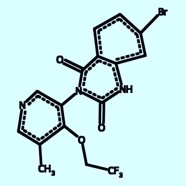 Cc1cncc(-n2c(=O)[nH]c3cc(Br)ccc3c2=O)c1OCC(F)(F)F